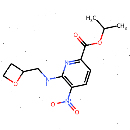 CC(C)OC(=O)c1ccc([N+](=O)[O-])c(NCC2CCO2)n1